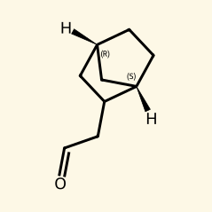 O=CCC1C[C@@H]2CC[C@H]1C2